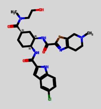 CN1CCc2nc(C(=O)N[C@@H]3C[C@@H](C(=O)N(C)CCO)CC[C@@H]3NC(=O)c3cc4cc(Cl)ccc4[nH]3)sc2C1